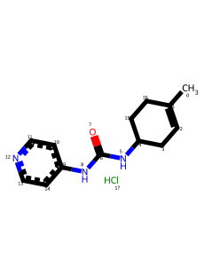 CC1=CCC(NC(=O)Nc2ccncc2)CC1.Cl